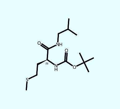 CSCC[C@H](NC(=O)OC(C)(C)C)C(=O)NCC(C)C